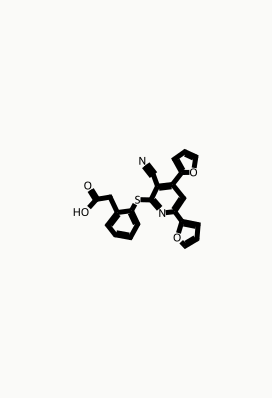 N#Cc1c(-c2ccco2)cc(-c2ccco2)nc1Sc1ccccc1CC(=O)O